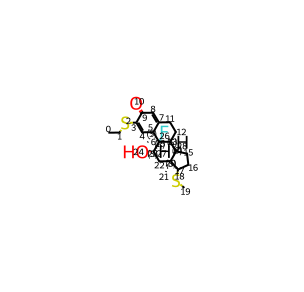 CCSC1=C[C@@]2(C)C(=CC1=O)CC[C@H]1[C@@H]3CCC(SC)[C@@]3(C)C[C@H](O)[C@@]12F